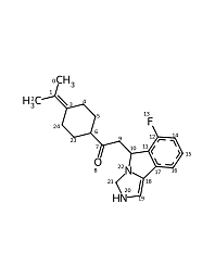 CC(C)=C1CCC(C(=O)CC2c3c(F)cccc3C3=CNCN32)CC1